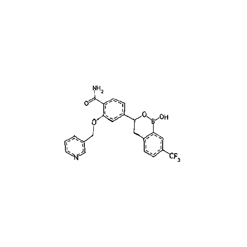 NC(=O)c1ccc(C2Cc3ccc(C(F)(F)F)cc3B(O)O2)cc1OCc1cccnc1